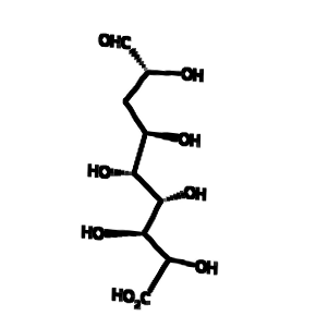 O=C[C@H](O)C[C@@H](O)[C@@H](O)[C@H](O)[C@H](O)C(O)C(=O)O